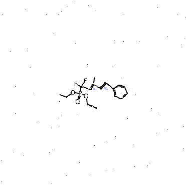 CCOP(=O)(OCC)C(F)(F)/C=C(C)/C=C/c1ccccc1